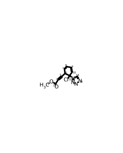 COC(=O)C#CC1C=CC=CC1(Cl)n1cnnn1